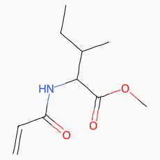 C=CC(=O)NC(C(=O)OC)C(C)CC